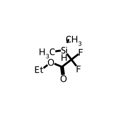 CCOC(=O)C(F)(F)[SiH](C)C